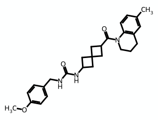 COc1ccc(CNC(=O)NC2CC3(C2)CC(C(=O)N2CCCc4cc(C)ccc42)C3)cc1